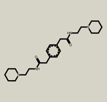 O=C(Cc1ccc(CC(=O)NCCN2CCCCC2)cc1)NCCN1CCCCC1